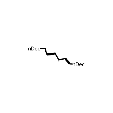 CCCCCCCCCCC=C[CH]C=CCCCCCCCCCCC